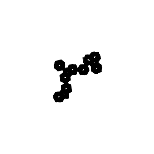 c1ccc(-n2c3ccc(-c4cccc(-c5ncc6cccc7c6c5-c5ccccc5-7)c4)cc3c3cc(-c4ccc5oc6ccccc6c5c4)ccc32)cc1